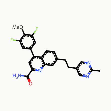 COc1c(F)cc(-c2cc(C(N)=O)nc3cc(CCc4cnc(C)nc4)ccc23)cc1F